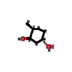 C[C@H]1CC[C@H](O)CC1=O